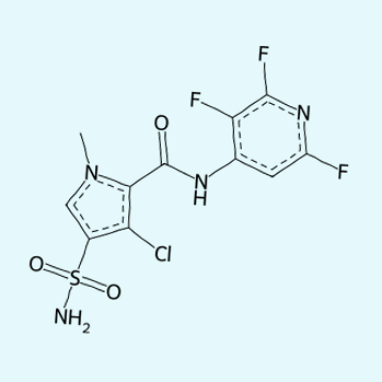 Cn1cc(S(N)(=O)=O)c(Cl)c1C(=O)Nc1cc(F)nc(F)c1F